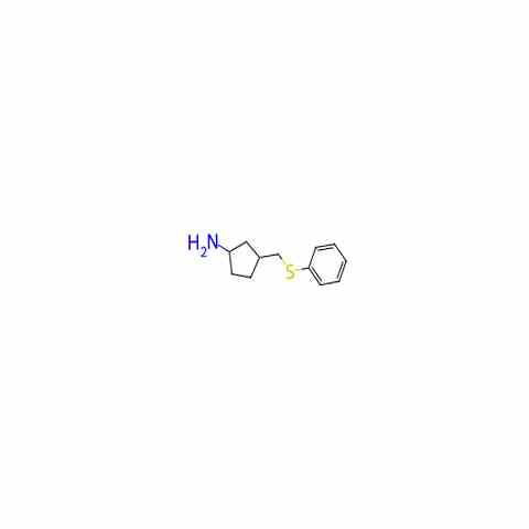 NC1CCC(CSc2ccccc2)C1